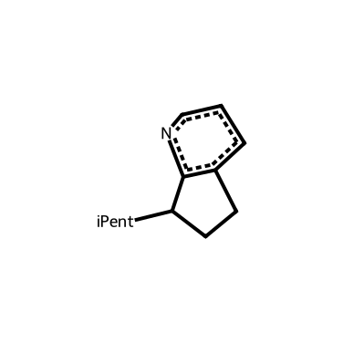 CCCC(C)C1CCc2cccnc21